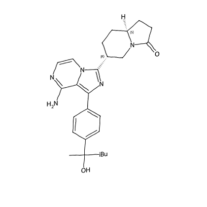 CCC(C)C(C)(O)c1ccc(-c2nc([C@@H]3CC[C@H]4CCC(=O)N4C3)n3ccnc(N)c23)cc1